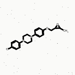 CC1OC1COc1ccc(N2CCN(c3ccc(Cl)cc3)CC2)cc1